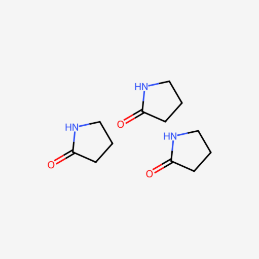 O=C1CCCN1.O=C1CCCN1.O=C1CCCN1